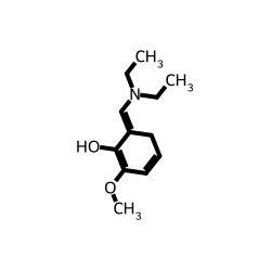 CCN(C=C1CC=CC(OC)=C1O)CC